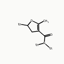 CCC1CC(C(=O)N(CC)CC)=C(C)O1